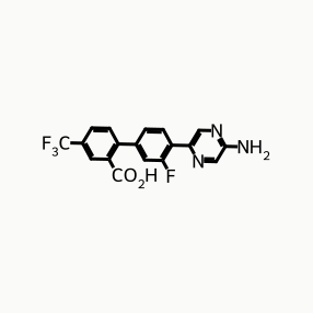 Nc1cnc(-c2ccc(-c3ccc(C(F)(F)F)cc3C(=O)O)cc2F)cn1